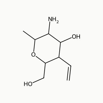 C=CC1C(CO)OC(C)C(N)C1O